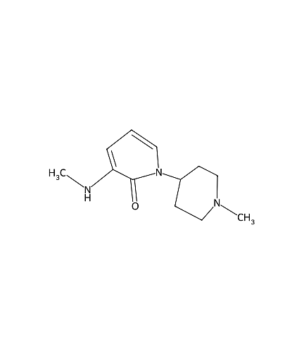 CNc1cccn(C2CCN(C)CC2)c1=O